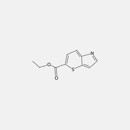 CCOC(=O)c1ccc2nccc-2s1